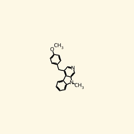 COc1ccc(Cc2cncc3c2c2ccccc2n3C)cc1